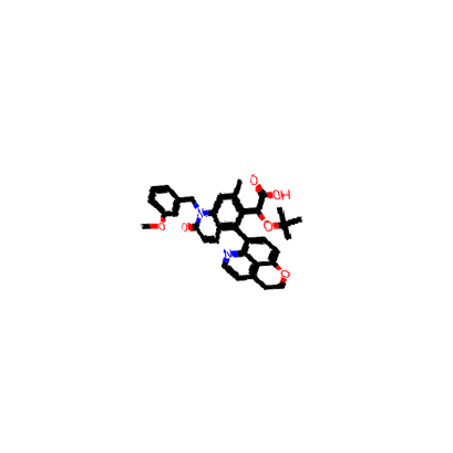 COc1cccc(Cn2c(=O)ccc3c(-c4ccc5c6c(ccnc46)CCO5)c(C(OC(C)(C)C)C(=O)O)c(C)cc32)c1